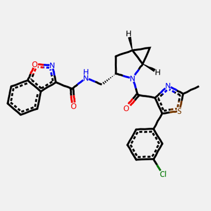 Cc1nc(C(=O)N2[C@H](CNC(=O)c3noc4ccccc34)C[C@@H]3C[C@@H]32)c(-c2cccc(Cl)c2)s1